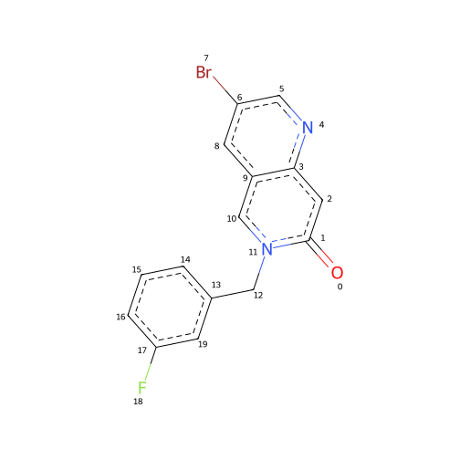 O=c1cc2ncc(Br)cc2cn1Cc1cccc(F)c1